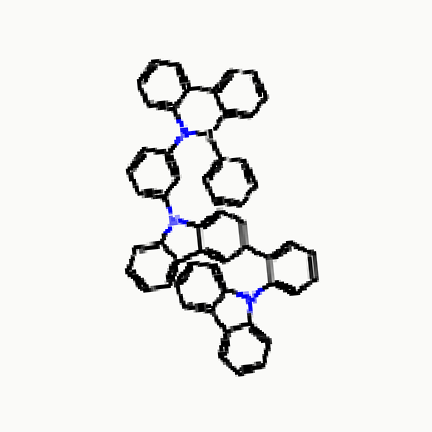 c1ccc(B2c3ccccc3-c3ccccc3N2c2cccc(-n3c4ccccc4c4cc(-c5ccccc5-n5c6ccccc6c6ccccc65)ccc43)c2)cc1